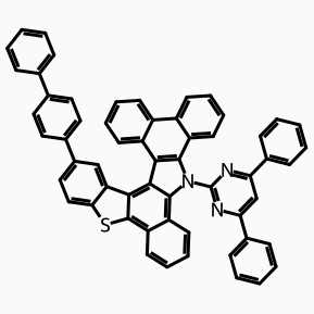 c1ccc(-c2ccc(-c3ccc4sc5c6ccccc6c6c(c5c4c3)c3c4ccccc4c4ccccc4c3n6-c3nc(-c4ccccc4)cc(-c4ccccc4)n3)cc2)cc1